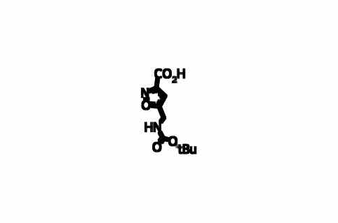 CC(C)(C)OC(=O)NCc1cc(C(=O)O)no1